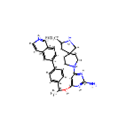 CCOC(=O)C1CC2(CCN(c3cc(O[C@H](c4ccc(-c5ccc6cnccc6c5)cc4)C(F)(F)F)nc(N)n3)CC2)CN1